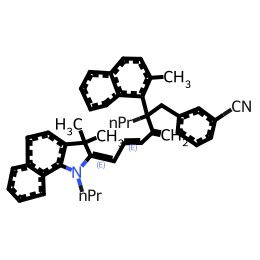 C=C(/C=C/C=C1/N(CCC)c2c(ccc3ccccc23)C1(C)C)C(CCC)(Cc1cccc(C#N)c1)c1c(C)ccc2ccccc12